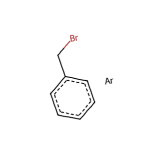 BrCc1ccccc1.[Ar]